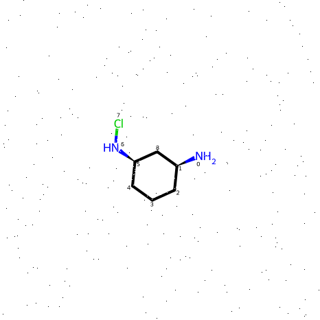 N[C@H]1CCC[C@@H](NCl)C1